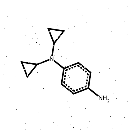 Nc1ccc(N(C2CC2)C2CC2)cc1